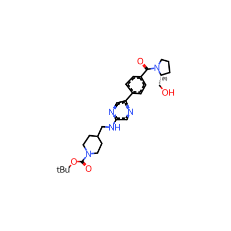 CC(C)(C)OC(=O)N1CCC(CNc2cnc(-c3ccc(C(=O)N4CCC[C@@H]4CO)cc3)cn2)CC1